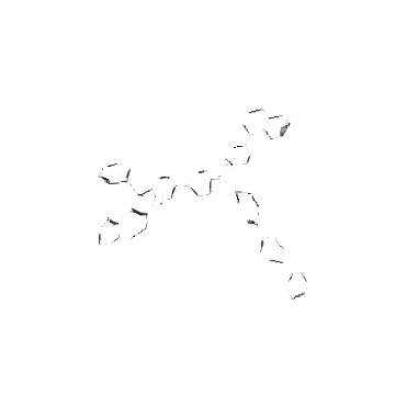 c1ccc(-c2ccc(-c3ccc(N(c4ccc(-c5ccc6c(-c7ccccc7)c7c8ccccc8ccc7n6c5)cc4)c4ccc(-c5cccc6ccccc56)cc4)cc3)cc2)cc1